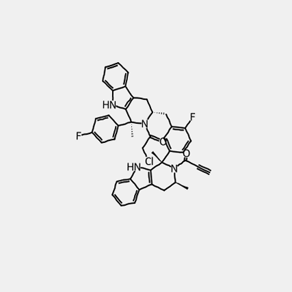 C#CC(=O)N1[C@@H](C)Cc2c([nH]c3ccccc23)[C@]1(C)c1ccc(F)c(C[C@H]2Cc3c([nH]c4ccccc34)[C@](C)(c3ccc(F)cc3)N2C(=O)CCl)c1